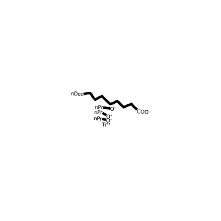 CCCCCCCCCCCCCCCCCC(=O)[O-].CCC[O-].CCC[O-].CCC[O-].[Ti+4]